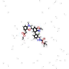 CCOC(=O)Cc1cccc2c1OC(c1cc(-c3cccc(CNC(=O)OC(C)(C)C)c3F)c3nc(C)oc3c1)CN2C